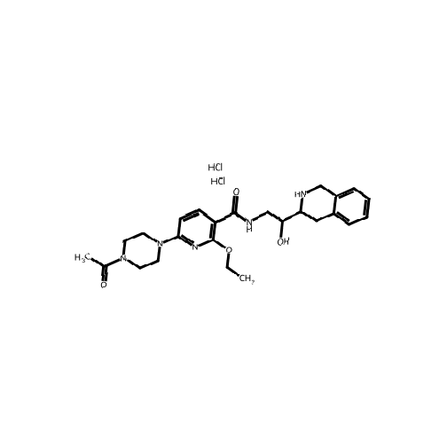 CCOc1nc(N2CCN(C(C)=O)CC2)ccc1C(=O)NCC(O)C1Cc2ccccc2CN1.Cl.Cl